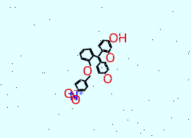 O=c1ccc2c(-c3ccccc3COCc3ccc([N+](=O)[O-])cc3)c3ccc(O)cc3oc-2c1